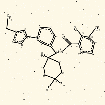 O=C(NC(c1cccc(-c2cnn(CC(F)(F)F)c2)c1)C1(O)CCC(F)(F)CC1)c1nccc(C(F)(F)F)c1Cl